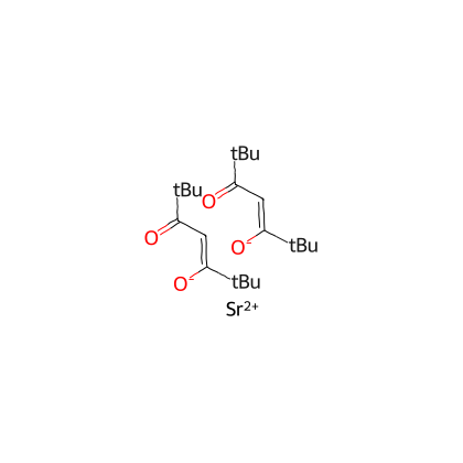 CC(C)(C)C(=O)/C=C(\[O-])C(C)(C)C.CC(C)(C)C(=O)/C=C(\[O-])C(C)(C)C.[Sr+2]